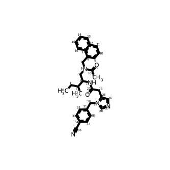 CCC(C)C(CN(Cc1cccc2ccccc12)C(C)=O)NC(=O)Cc1cncn1Cc1ccc(C#N)cc1